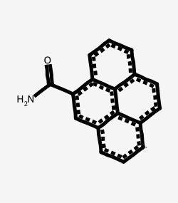 NC(=O)c1cc2cc[c]c3ccc4cccc1c4c32